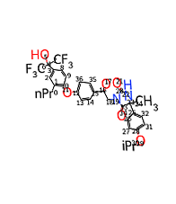 CCCc1cc(C(O)(C(F)(F)F)C(F)(F)F)ccc1Oc1ccc(C(=O)CN2C(=O)NC(C)(c3ccc(OC(C)C)cc3)C2=O)cc1